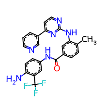 Cc1ccc(C(=O)Nc2ccc(N)c(C(F)(F)F)c2)cc1Nc1nccc(-c2cccnc2)n1